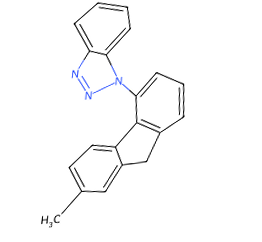 Cc1ccc2c(c1)Cc1cccc(-n3nnc4ccccc43)c1-2